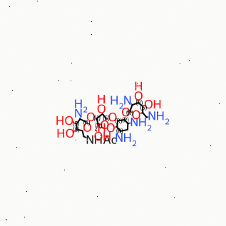 CC(=O)NCC1O[C@H](O[C@@H]2C(O)[C@H](O[C@@H]3C(O)[C@H](N)CC(N)[C@H]3O[C@H]3OC(CN)[C@@H](O)[C@H](O)C3N)O[C@@H]2CO)C(N)[C@H](O)[C@@H]1O